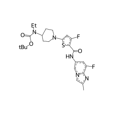 CCN(C(=O)OC(C)(C)C)C1CCN(c2cc(F)c(C(=O)Nc3cc(F)c4nc(C)cn4c3)s2)CC1